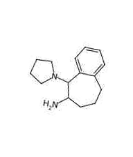 NC1CCCc2ccccc2C1N1CCCC1